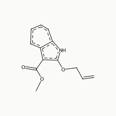 C=CCOc1[nH]c2ccccc2c1C(=O)OC